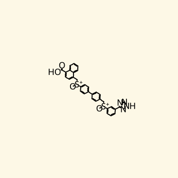 O=C(O)c1ccc(C[S+]([O-])c2ccc(-c3ccc(C[S+]([O-])c4cccc(-c5nn[nH]n5)c4)cc3)cc2)c2ccccc12